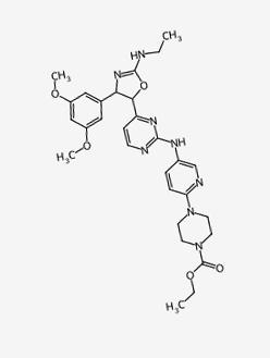 CCNC1=NC(c2cc(OC)cc(OC)c2)C(c2ccnc(Nc3ccc(N4CCN(C(=O)OCC)CC4)nc3)n2)O1